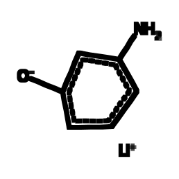 Nc1cccc([O-])c1.[Li+]